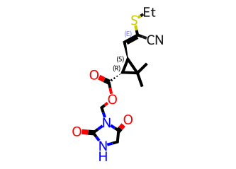 CCS/C(C#N)=C/[C@@H]1[C@@H](C(=O)OCN2C(=O)CNC2=O)C1(C)C